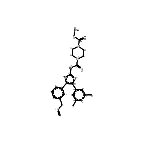 C=NCc1cccc(-c2nc(NC(=O)N3CCN(C(=O)OC(C)(C)C)CC3)sc2-c2cc(C)nc(C)c2)c1